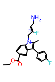 CCOC(=O)c1ccc2c(c1)c(-c1ccc(F)cc1)c(C)n2C/C(F)=C/CN